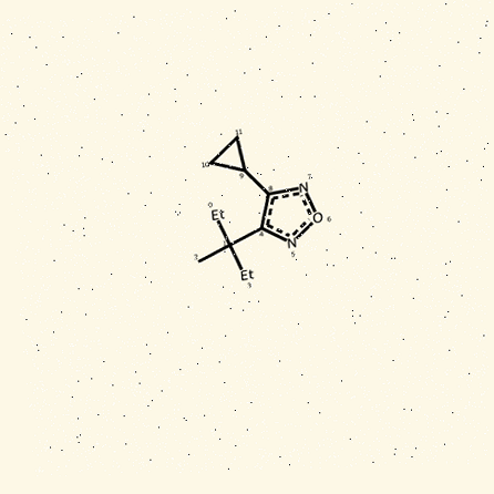 CCC(C)(CC)c1nonc1C1CC1